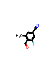 Cc1cc(C#N)cc(F)c1C=O